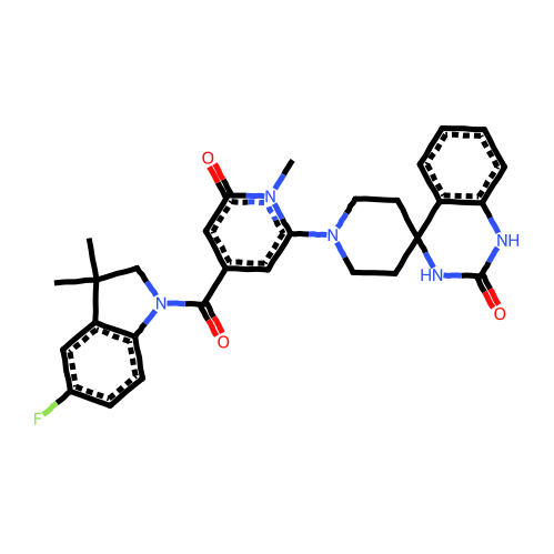 Cn1c(N2CCC3(CC2)NC(=O)Nc2ccccc23)cc(C(=O)N2CC(C)(C)c3cc(F)ccc32)cc1=O